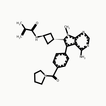 C=C(C)C(=O)N[C@H]1C[C@H](c2c(-c3ccc(C(=O)N4CCCC4)cc3)c3c(N)ncnc3n2C)C1